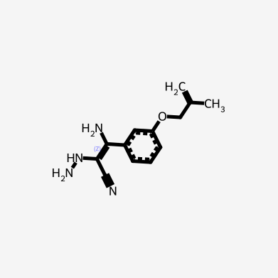 C=C(C)COc1cccc(/C(N)=C(\C#N)NN)c1